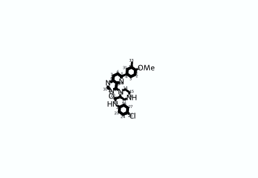 COc1ccc(-c2ccc3ncnc(N4CCNCC4C(=O)Nc4ccc(Cl)cc4)c3n2)cc1C